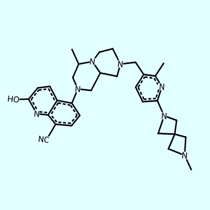 Cc1nc(N2CC3(CN(C)C3)C2)ccc1CN1CCN2C(C)CN(c3ccc(C#N)c4nc(O)ccc34)CC2C1